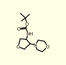 CC(C)(C)OC(=O)NC1COCC1N1CCOCC1